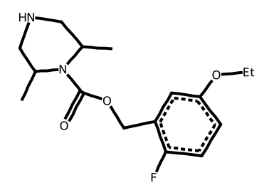 CCOc1ccc(F)c(COC(=O)N2C(C)CNCC2C)c1